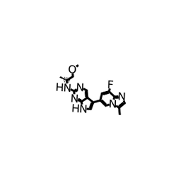 COC[C@H](C)Nc1ncc2c(-c3cc(F)c4ncc(C)n4c3)c[nH]c2n1